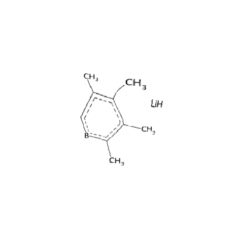 Cc1bcc(C)c(C)c1C.[LiH]